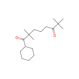 CC(C)(C)C(=O)CCCC(C)(C)C(=O)C1CCCCC1